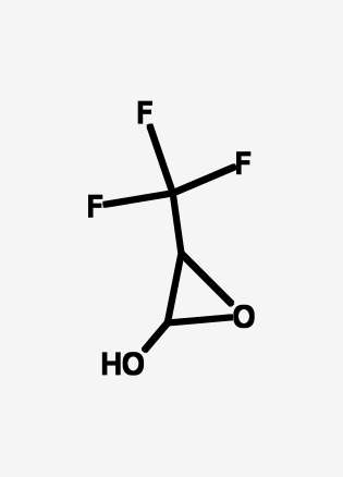 OC1OC1C(F)(F)F